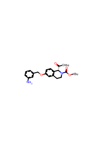 COC(=O)[C@H]1c2ccc(OCc3cccc(N)c3)cc2CCN1C(=O)OC(C)(C)C